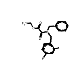 Cc1cc(F)ccc1CN(Cc1ccccc1)C(=O)C(=O)OCC(F)(F)F